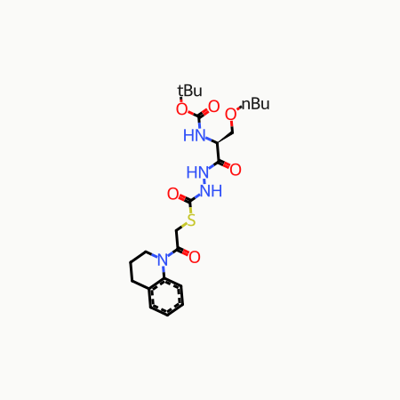 CCCCOC[C@H](NC(=O)OC(C)(C)C)C(=O)NNC(=O)SCC(=O)N1CCCc2ccccc21